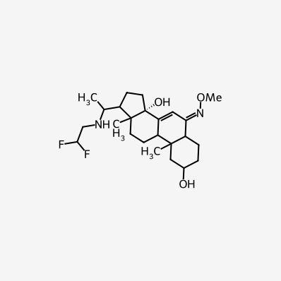 CO/N=C1\C=C2C(CCC3(C)C(C(C)NCC(F)F)CC[C@@]23O)C2(C)CC(O)CCC12